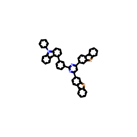 c1ccc(-n2c3ccccc3c3c(-c4cccc(-c5nc(-c6ccc7c(c6)sc6ccccc67)cc(-c6ccc7c(c6)sc6ccccc67)n5)c4)cccc32)cc1